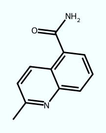 Cc1ccc2c(C(N)=O)cccc2n1